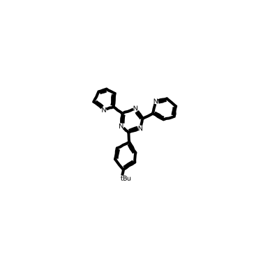 CC(C)(C)c1ccc(-c2nc(-c3ccccn3)nc(-c3ccccn3)n2)cc1